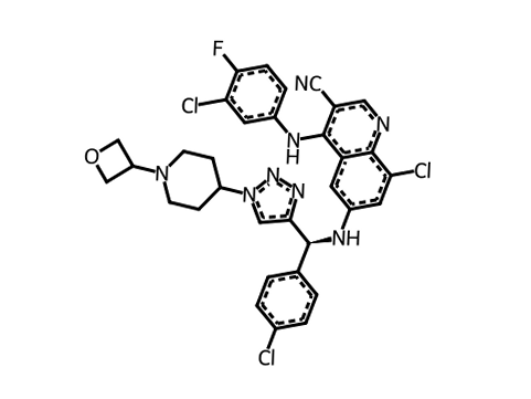 N#Cc1cnc2c(Cl)cc(N[C@@H](c3ccc(Cl)cc3)c3cn(C4CCN(C5COC5)CC4)nn3)cc2c1Nc1ccc(F)c(Cl)c1